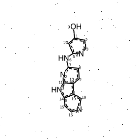 Oc1ccnc(Nc2ccc3c(n2)[nH]c2ccncc23)c1